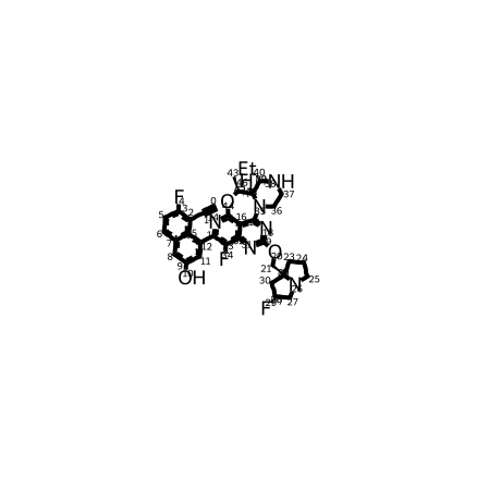 C#Cc1c(F)ccc2cc(O)cc(-c3nc4c5c(nc(OC[C@@]67CCCN6C[C@H](F)C7)nc5c3F)N3CCN[C@@H](CC)[C@H]3[C@H](C)O4)c12